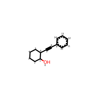 OC1CCCCC1C#Cc1ccccc1